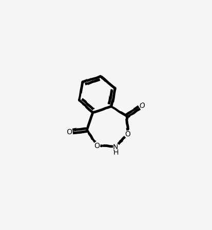 O=C1ONOC(=O)c2ccccc21